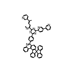 C=N/C(=C\C=C(/C)c1cccnc1)c1nc(-c2ccc(-c3nc4ccccc4c4c5c(ccc34)C3(c4ccccc4-c4ccccc43)c3ccccc3-5)cc2)nc(-c2ccc(-c3cccnc3)cn2)n1